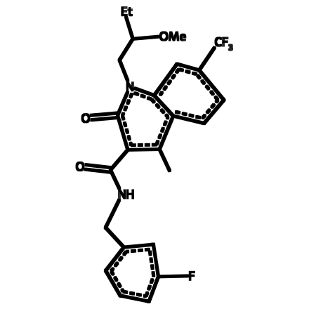 CCC(Cn1c(=O)c(C(=O)NCc2cccc(F)c2)c(C)c2ccc(C(F)(F)F)cc21)OC